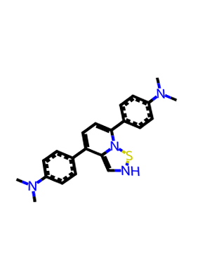 CN(C)c1ccc(C2=CC=C(c3ccc(N(C)C)cc3)N3SNC=C23)cc1